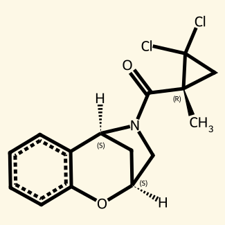 C[C@]1(C(=O)N2C[C@@H]3C[C@H]2c2ccccc2O3)CC1(Cl)Cl